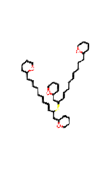 C(CCCCC1CCCCO1)CCCCC(CC1CCCCO1)SC(CCCCCCCCCC1CCCCO1)CC1CCCCO1